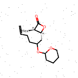 C=CCCC(C[C@H]1OC(=O)[C@@H]1CCCCCC)OC1CCCCO1